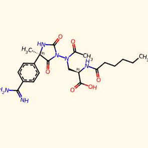 CCCCCC(=O)N[C@H](CN(C(C)=O)N1C(=O)N[C@](C)(c2ccc(C(=N)N)cc2)C1=O)C(=O)O